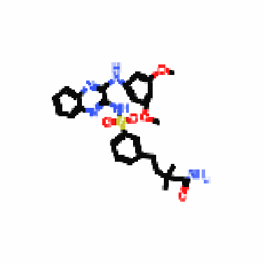 COc1cc(Nc2nc3ccccc3nc2NS(=O)(=O)c2cccc(CCC(C)(C)C(N)=O)c2)cc(OC)c1